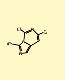 CC(C)c1ncc2cc(Cl)nc(Cl)n12